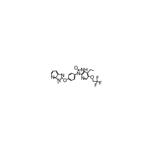 CCc1c(OCC(F)(F)F)cnc2c1[nH]c(=O)n2-c1ccc(Oc2nc3cccnc3n2C)cc1